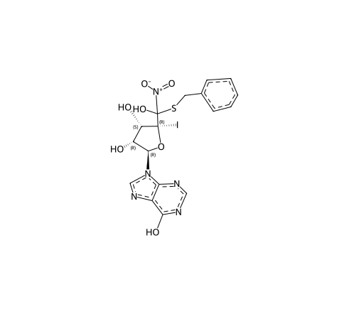 O=[N+]([O-])C(O)(SCc1ccccc1)[C@@]1(I)O[C@@H](n2cnc3c(O)ncnc32)[C@H](O)[C@@H]1O